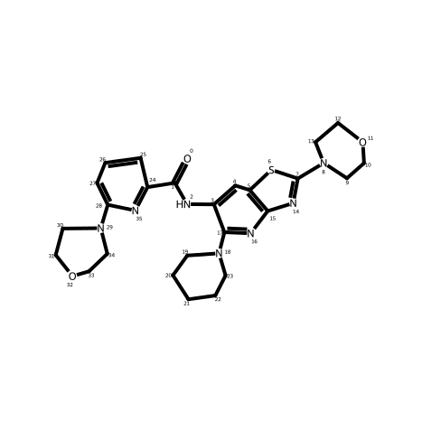 O=C(Nc1cc2sc(N3CCOCC3)nc2nc1N1CCCCC1)c1cccc(N2CCOCC2)n1